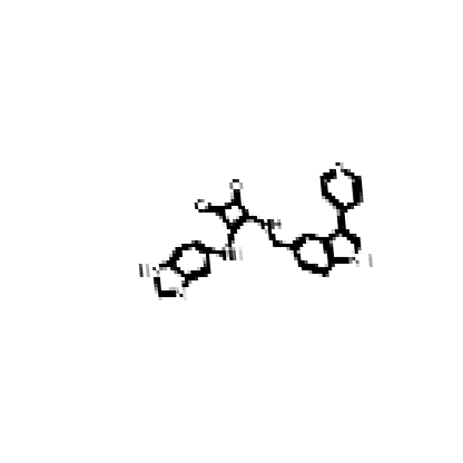 O=c1c(NCc2ccc3[nH]cc(-c4ccncc4)c3c2)c(Nc2ccc3[nH]cnc3c2)c1=O